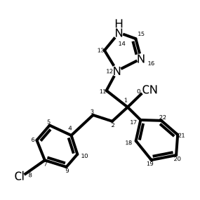 N#CC(CCc1ccc(Cl)cc1)(CN1CNC=N1)c1ccccc1